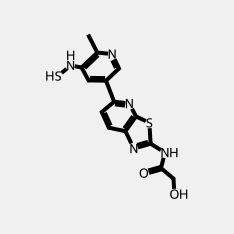 Cc1ncc(-c2ccc3nc(NC(=O)CO)sc3n2)cc1NS